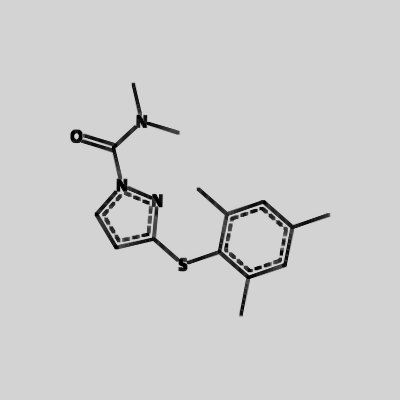 Cc1cc(C)c(Sc2ccn(C(=O)N(C)C)n2)c(C)c1